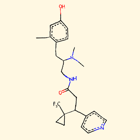 Cc1cc(O)ccc1CC(CNC(=O)CC(c1ccncc1)C1(C(F)(F)F)CC1)N(C)C